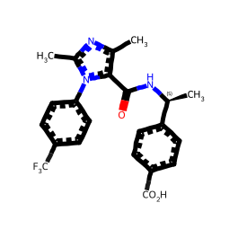 Cc1nc(C)n(-c2ccc(C(F)(F)F)cc2)c1C(=O)N[C@@H](C)c1ccc(C(=O)O)cc1